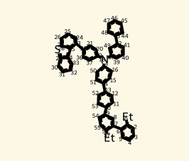 CCc1ccccc1-c1cc(-c2ccc(-c3ccc(N(c4ccc(-c5cccc6sc7ccccc7c56)cc4)c4cccc(-c5ccccc5)c4)cc3)cc2)ccc1CC